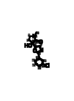 CN1CCC(O)(c2cnc(-c3cccc(Cl)c3)o2)C1=O